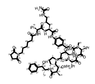 CC[C@H](C)[C@@H]([C@@H](CC(=O)N1CCC[C@H]1[C@H](OC)[C@@H](C)C(=O)N[C@H](C)[C@@H](O)c1ccccc1)OC)N(C)[C@H](C(=O)NC(=O)[C@H](C(C)C)N(C)C(=O)OCc1ccc(NC(=O)[C@H](CCCNC(N)=O)NC(=O)[C@@H](NC(=O)CCCCCN2C(=O)CCC2=O)C(C)C)cc1)C(C)C